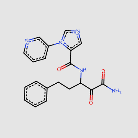 NC(=O)C(=O)C(CCc1ccccc1)NC(=O)c1cncn1-c1cccnc1